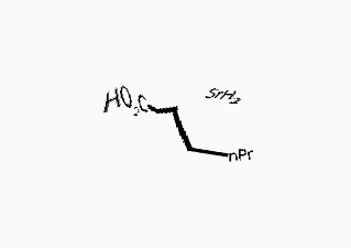 [CH2]CCCCC(=O)O.[SrH2]